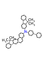 CC1(C)c2ccccc2-c2ccc(N(c3ccc(-c4ccccc4)cc3)c3ccc4c(ccc5cc6c(cc54)C(C)(C)c4ccccc4-6)c3)cc21